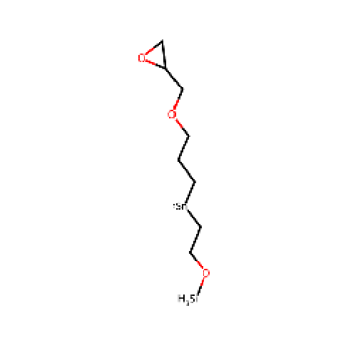 [SiH3]OC[CH2][Sn][CH2]CCOCC1CO1